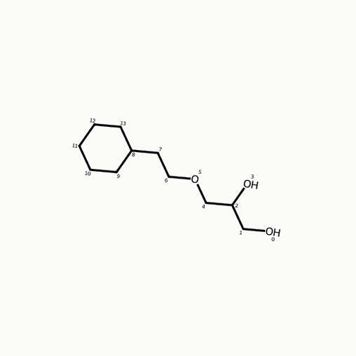 OCC(O)COCCC1CCCCC1